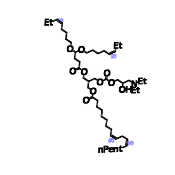 CC/C=C\CCCCOC(CCC(=O)OCC(COC(=O)CCCCCCC/C=C\C/C=C\CCCCC)COC(=O)OCC(O)CN(CC)CC)OCCCC/C=C\CC